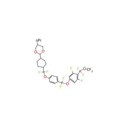 CCCC1COC(C2CCC(C(F)(F)Oc3ccc(C(F)(F)Oc4cc(F)c(C(F)(F)OC(F)(F)F)c(F)c4)cc3)CC2)OC1